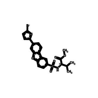 COC(=O)[C@H](NS(=O)(=O)c1ccc2oc3cc(-c4ccc(Br)s4)ccc3c2c1)C(C)C